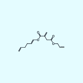 C=CCCC=COC(=O)C(=C)CC(=O)OCC=C